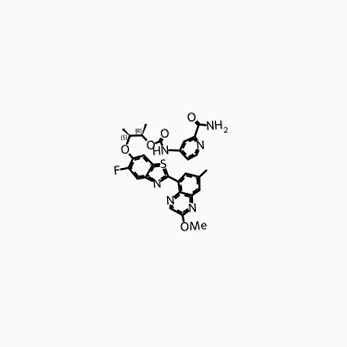 COc1cnc2c(-c3nc4cc(F)c(O[C@@H](C)[C@@H](C)OC(=O)Nc5ccnc(C(N)=O)c5)cc4s3)cc(C)cc2n1